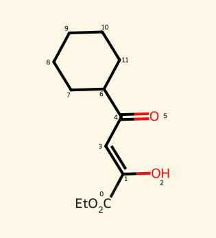 CCOC(=O)/C(O)=C/C(=O)C1CCCCC1